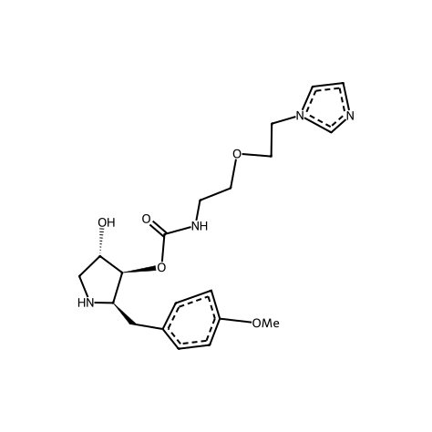 COc1ccc(C[C@H]2NC[C@H](O)[C@H]2OC(=O)NCCOCCn2ccnc2)cc1